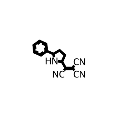 N#CC(C#N)=C(C#N)C1CCC(c2ccccc2)N1